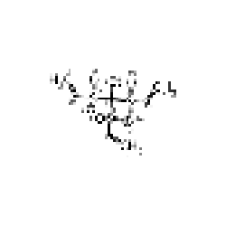 C=CS(=O)(=O)C(CC)(S(=O)(=O)C=C)S(=O)(=O)C=C